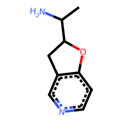 CC(N)C1Cc2cnccc2O1